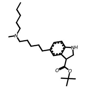 CCCCCN(C)CCCCCc1ccc2c(c1)C(C(=O)OC(C)(C)C)CN2